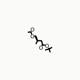 CC(=O)O/C=C(\C)CC(=O)OC(C)(C)C